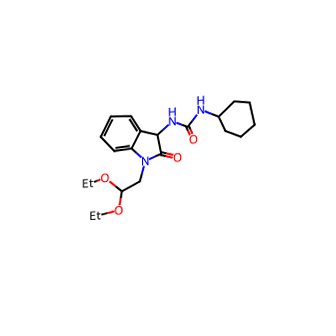 CCOC(CN1C(=O)C(NC(=O)NC2CCCCC2)c2ccccc21)OCC